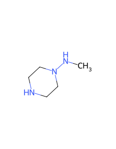 CNN1CCNCC1